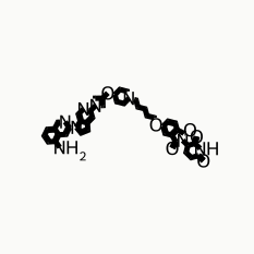 Nc1cccc2cnc(-n3ccc4cc(N5CC(OC6CCN(CCCCCOc7ccc8c(c7)C(=O)N(C7CCC(=O)NC7=O)C8=O)CC6)C5)ncc43)cc12